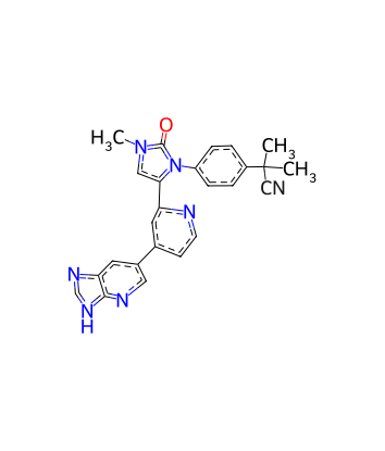 Cn1cc(-c2cc(-c3cnc4[nH]cnc4c3)ccn2)n(-c2ccc(C(C)(C)C#N)cc2)c1=O